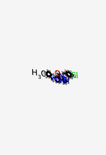 Cc1cccc(CN2CCc3c(c(=O)n(Cc4ccc(Cl)cc4)c4nccn34)C2)c1